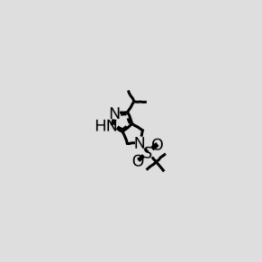 CC(C)c1n[nH]c2c1CN(S(=O)(=O)C(C)(C)C)C2